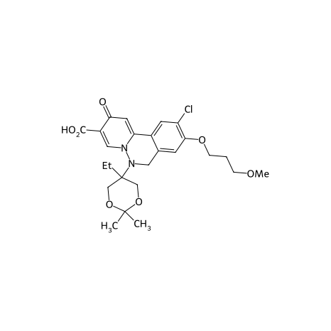 CCC1(N2Cc3cc(OCCCOC)c(Cl)cc3-c3cc(=O)c(C(=O)O)cn32)COC(C)(C)OC1